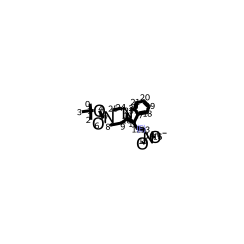 CC(C)(C)OC(=O)N1CCc2c(/C=C/[N+](=O)[O-])c3ccccc3n2CC1